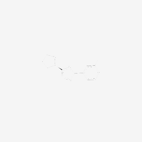 Cl.Fc1cccc(-c2noc([C@H]3CCCN3)n2)c1